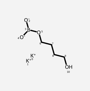 [K+].[K+].[O-]B([O-])OCCCCO